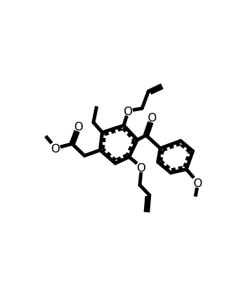 C=CCOc1cc(CC(=O)OC)c(CC)c(OCC=C)c1C(=O)c1ccc(OC)cc1